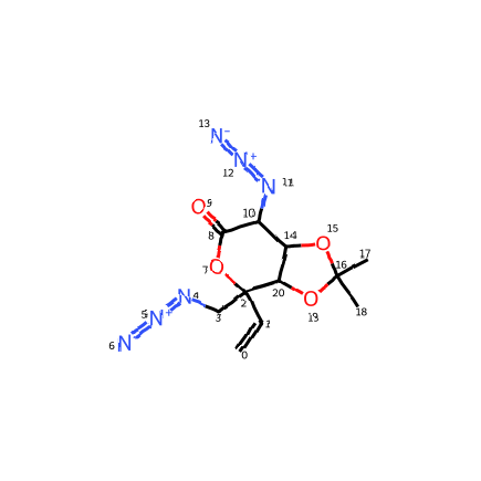 C=CC1(CN=[N+]=[N-])OC(=O)C(N=[N+]=[N-])C2OC(C)(C)OC21